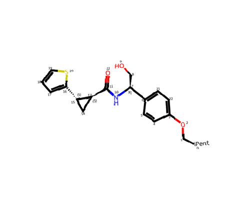 CCCC(C)COc1ccc([C@H](CO)NC(=O)[C@H]2C[C@@H]2c2cccs2)cc1